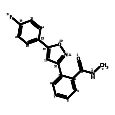 CNC(=O)c1ccccc1-c1cc(-c2ccc(F)cc2)on1